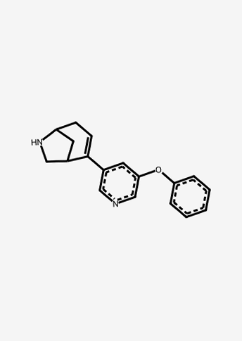 C1=C(c2cncc(Oc3ccccc3)c2)C2CNC(C1)C2